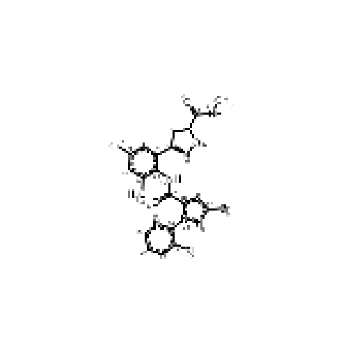 CNC(=O)C1CC(c2cc(Cl)cc(C)c2NC(=O)c2cc(Br)nn2-c2ncccc2Cl)=NO1